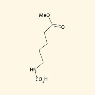 COC(=O)CCCCNC(=O)O